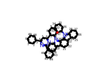 c1ccc(-c2cc(-c3ccccc3-n3c4ccccc4c4ccc5c6ccccc6n(-c6ccccc6)c5c43)nc(-c3ccccc3)n2)cc1